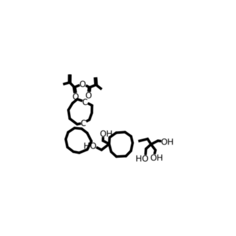 C1CCCCCCCCC1.C1CCCCCCCCC1.C=C(C)C(=O)OC(=O)C(=C)C.CCC(CO)(CO)CO.OCC1(CO)CCCCCCCCC1